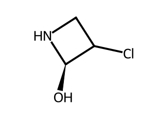 O[C@H]1NCC1Cl